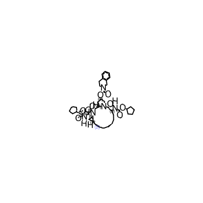 O=C(N[C@H]1CCCCC/C=C\[C@@H]2C[C@@]2(C(=O)NS(=O)(=O)C2CCCC2)NC(=O)[C@@H]2C[C@@H](OC(=O)N3CCc4ccccc4C3)CN2C1=O)OC1CCCC1